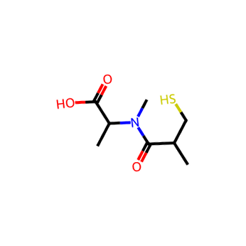 CC(CS)C(=O)N(C)C(C)C(=O)O